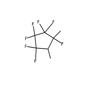 CC1C(C)(F)C(F)(F)C(F)(F)C1(F)F